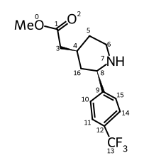 COC(=O)C[C@H]1CCN[C@@H](c2ccc(C(F)(F)F)cc2)C1